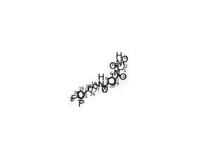 O=C1CCC(N2Cc3cc(C(=O)NC4CC5(C=C(c6ccc(F)c(F)c6)C5)C4)ccc3C2=O)C(=O)N1